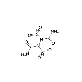 NC(=O)N(N(C(N)=O)[SH](=O)=O)[SH](=O)=O